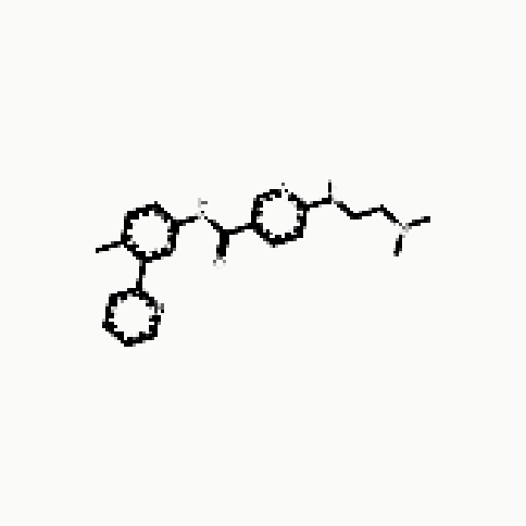 Cc1ccc(NC(=O)c2ccc(NCCN(C)C)nc2)cc1-c1ccccn1